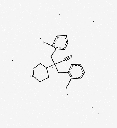 N#CC(Cc1ccccc1F)(Cc1ccccc1F)C1CCNCC1